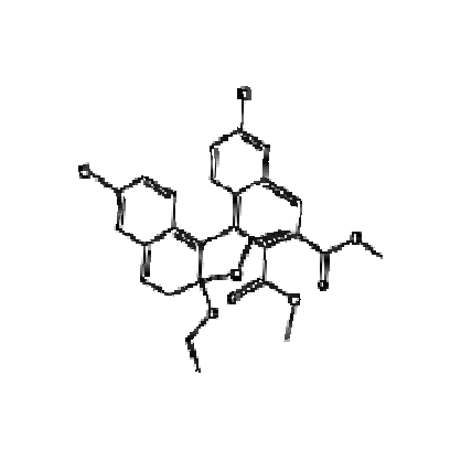 CCOC1(OCC)CC=c2cc(Cl)ccc2=C1c1c(C(=O)OC)c(C(=O)OC)cc2cc(Cl)ccc12